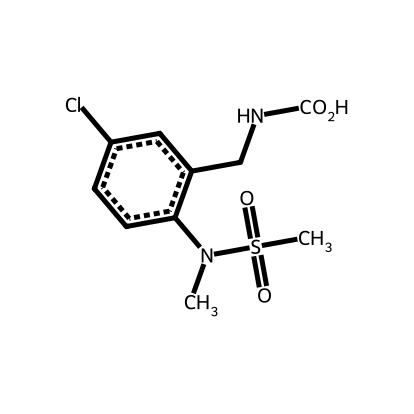 CN(c1ccc(Cl)cc1CNC(=O)O)S(C)(=O)=O